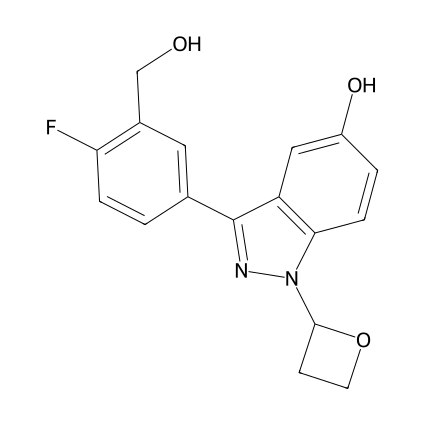 OCc1cc(-c2nn(C3CCO3)c3ccc(O)cc23)ccc1F